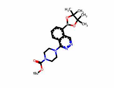 CC(C)(C)OC(=O)N1CCN(c2nncc3c(B4OC(C)(C)C(C)(C)O4)cccc23)CC1